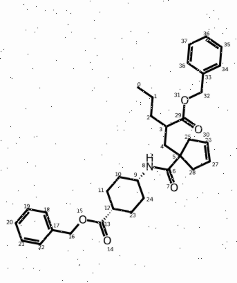 CCCC(CC1(C(=O)N[C@H]2CC[C@@H](C(=O)OCc3ccccc3)CC2)CC=CC1)C(=O)OCc1ccccc1